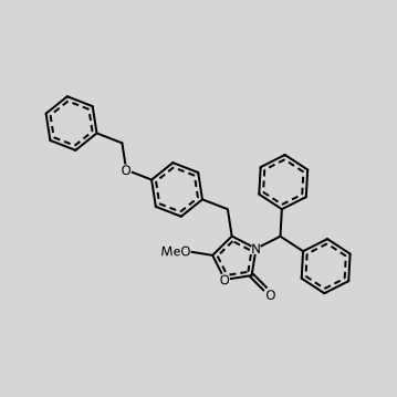 COc1oc(=O)n(C(c2ccccc2)c2ccccc2)c1Cc1ccc(OCc2ccccc2)cc1